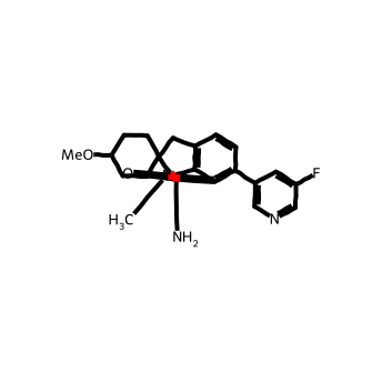 COC1CCC2(CC1)Cc1ccc(-c3cncc(F)c3)cc1C21N=C(N)N(C)C1=O